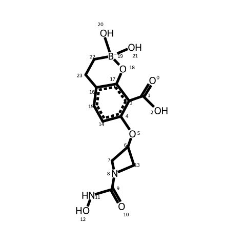 O=C(O)c1c(OC2CN(C(=O)NO)C2)ccc2c1O[B-](O)(O)CC2